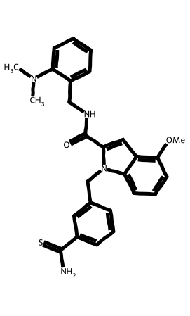 COc1cccc2c1cc(C(=O)NCc1ccccc1N(C)C)n2Cc1cccc(C(N)=S)c1